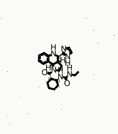 CCNC(=O)N[C@@H]1CCCC[C@@H]1C(=O)N1CC[C@H]2[C@H](c3ncc[nH]3)Nc3ccccc3[C@@H]21